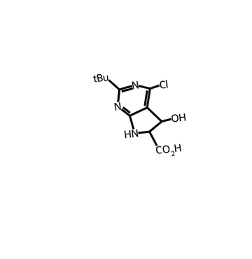 CC(C)(C)c1nc(Cl)c2c(n1)NC(C(=O)O)C2O